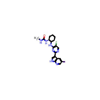 CNC(=O)N[C@H]1CCCCC1Nc1nc(-c2c[nH]c3ncc(I)cc23)ncc1F